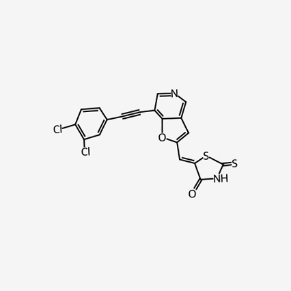 O=C1NC(=S)S/C1=C\c1cc2cncc(C#Cc3ccc(Cl)c(Cl)c3)c2o1